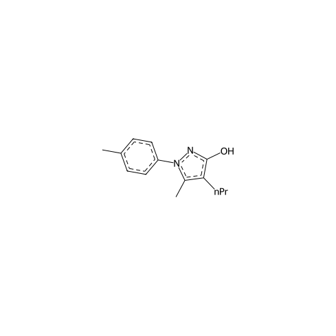 CCCc1c(O)nn(-c2ccc(C)cc2)c1C